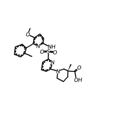 COc1ccc(NS(=O)(=O)c2cccc(N3CCC[C@@](C)(C(=O)O)C3)n2)nc1-c1ccccc1C